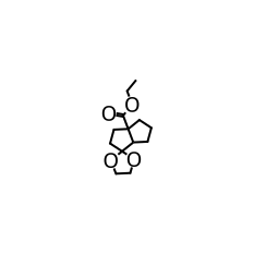 CCOC(=O)C12CCCC1C1(CC2)OCCO1